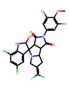 COc1c(Cl)cc(N2C(=O)C3C4CC(=C(F)F)CN4C4(c5cc(Cl)cc(Cl)c5NC4O)C3C2=O)cc1Cl